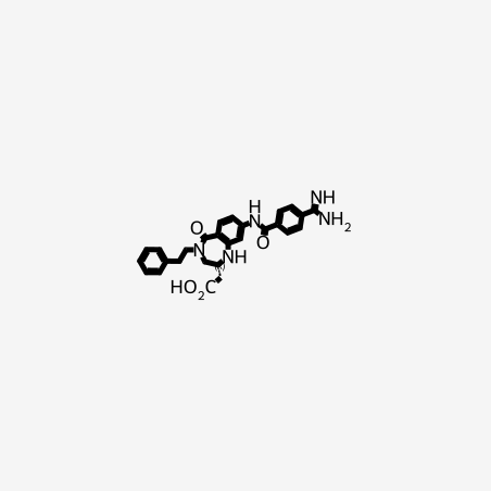 N=C(N)c1ccc(C(=O)Nc2ccc3c(c2)N[C@H](CC(=O)O)CN(CCc2ccccc2)C3=O)cc1